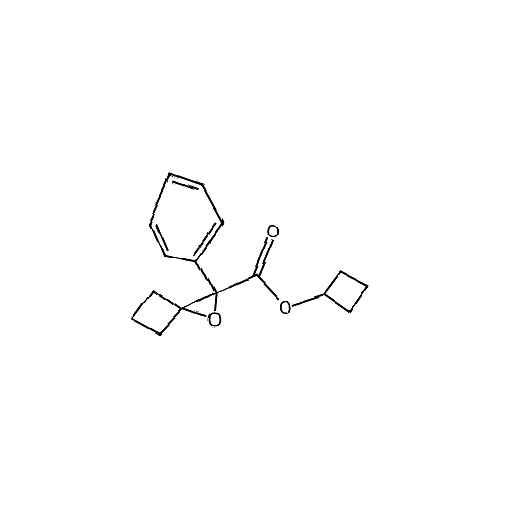 O=C(OC1CCC1)C1(c2ccccc2)OC12CCC2